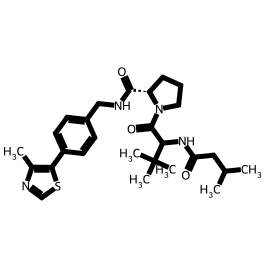 Cc1ncsc1-c1ccc(CNC(=O)[C@@H]2CCCN2C(=O)C(NC(=O)CC(C)C)C(C)(C)C)cc1